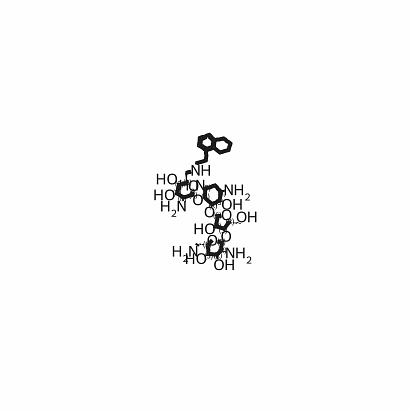 NC[C@@H]1O[C@H](O[C@H]2[C@@H](O)[C@H](O[C@@H]3[C@@H](O)[C@H](N)C[C@H](N)[C@H]3O[C@H]3O[C@H](CNCCc4cccc5c4CCCC5)[C@@H](O)[C@H](O)[C@H]3N)O[C@@H]2CO)[C@H](N)[C@@H](O)[C@@H]1O